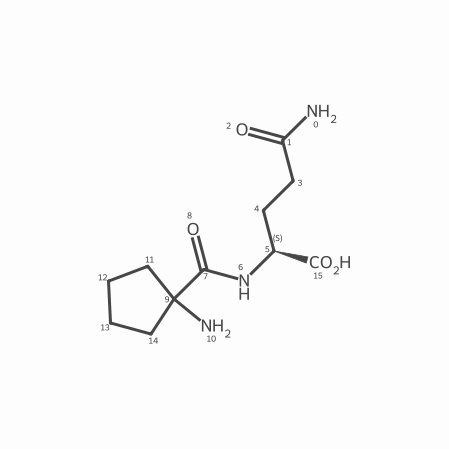 NC(=O)CC[C@H](NC(=O)C1(N)CCCC1)C(=O)O